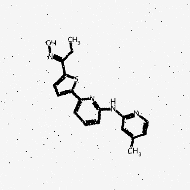 CCC(=NO)c1ccc(-c2cccc(Nc3cc(C)ccn3)n2)s1